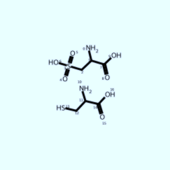 NC(CS(=O)(=O)O)C(=O)O.NC(CS)C(=O)O